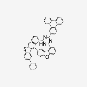 c1ccc(-c2ccc3sc4cccc(-c5ccc6oc7cccc(C8=NC(c9ccc%10c%11ccccc%11c%11ccccc%11c%10c9)=NC(c9ccccc9)N8)c7c6c5)c4c3c2)cc1